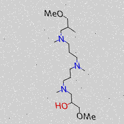 COCC(C)CN(C)CCCN(C)CCCN(C)CC(O)COC